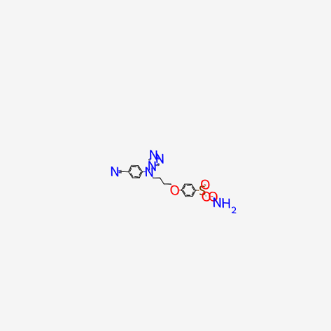 N#Cc1ccc(N(CCCCOc2ccc(S(=O)OON)cc2)n2cnnc2)cc1